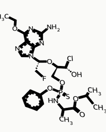 CCOc1nc(N)nc2c1ncn2[C@@H](CF)O[C@H](COP(=S)(NC(C)C(=O)OC(C)C)Oc1ccccc1)[C@@H](O)Cl